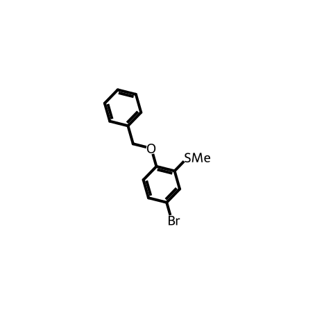 CSc1cc(Br)ccc1OCc1ccccc1